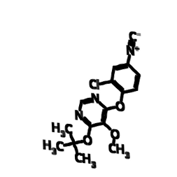 [C-]#[N+]c1ccc(Oc2ncnc(OC(C)(C)C)c2OC)c(Cl)c1